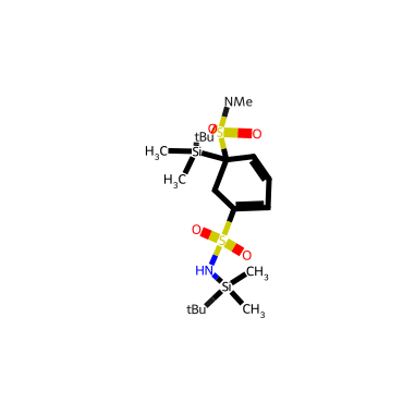 CNS(=O)(=O)C1([Si](C)(C)C(C)(C)C)C=CC=C(S(=O)(=O)N[Si](C)(C)C(C)(C)C)C1